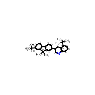 CC(C)(C)c1ccc2c(c1)C(C)(C)c1cc(-c3cnc4cccc(C(C)(C)C)c4c3)ccc1-2